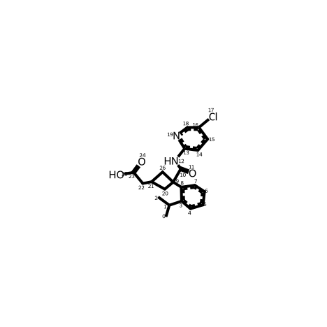 CC(C)c1ccccc1C1(C(=O)Nc2ccc(Cl)cn2)CC(CC(=O)O)C1